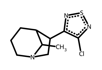 CC1C2CCCN1CC2c1nsnc1Cl